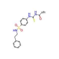 CCCC(=O)NC(=S)Nc1ccc(S(=O)(=O)NCCc2ccccc2)cc1